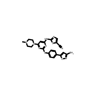 Bc1cc(-c2ccc(Sc3nc(Nc4ncc(C#N)s4)cc(N4CCN(C)CC4)n3)cc2)on1